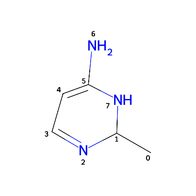 CC1N=CC=C(N)N1